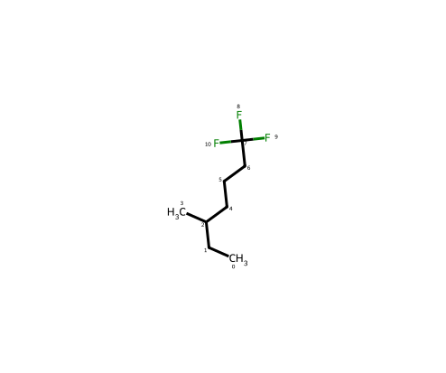 CCC(C)CCCC(F)(F)F